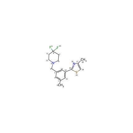 Cc1cc(CN2CCC(F)(F)CC2)cc(-c2nc(C)cs2)c1